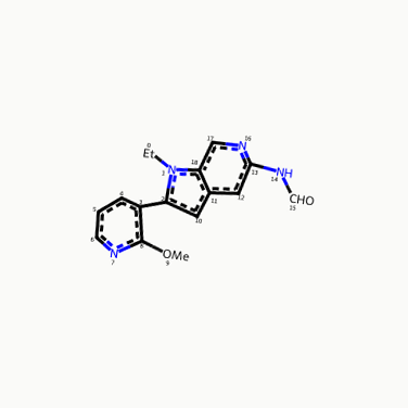 CCn1c(-c2cccnc2OC)cc2cc(NC=O)ncc21